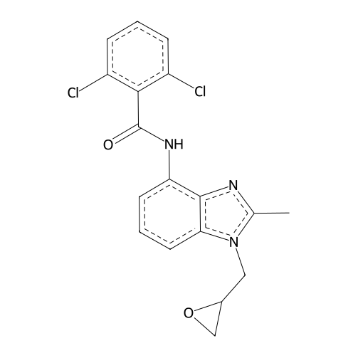 Cc1nc2c(NC(=O)c3c(Cl)cccc3Cl)cccc2n1CC1CO1